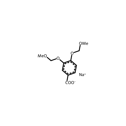 COCOc1ccc(C(=O)[O-])cc1OCOC.[Na+]